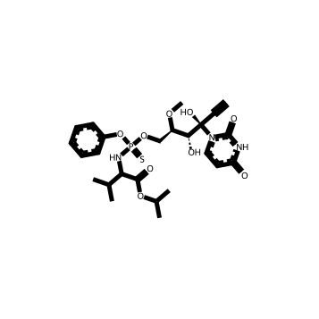 C#C[C@@](O)([C@H](O)[C@@H](COP(=S)(NC(C(=O)OC(C)C)C(C)C)Oc1ccccc1)OC)n1ccc(=O)[nH]c1=O